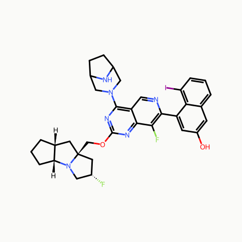 Oc1cc(-c2ncc3c(N4CC5CCC(C4)N5)nc(OC[C@@]45C[C@H](F)CN4[C@@H]4CCC[C@@H]4C5)nc3c2F)c2c(I)cccc2c1